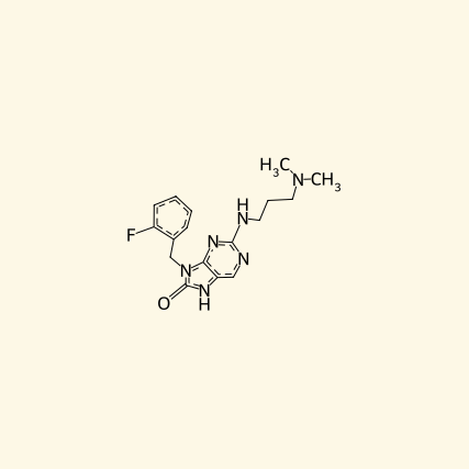 CN(C)CCCNc1ncc2[nH]c(=O)n(Cc3ccccc3F)c2n1